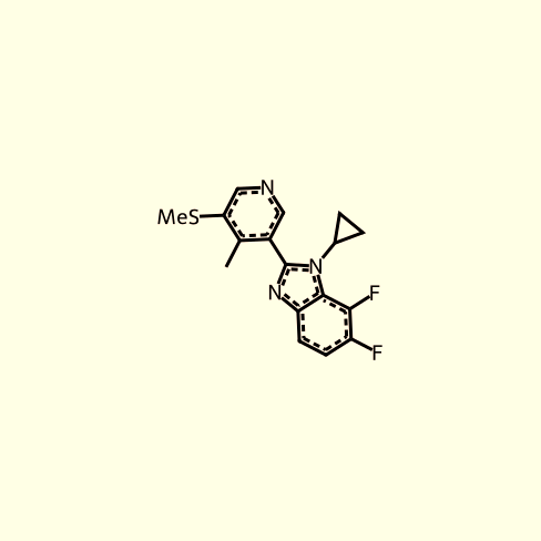 CSc1cncc(-c2nc3ccc(F)c(F)c3n2C2CC2)c1C